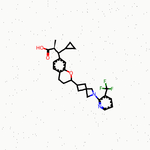 C[C@H](C(=O)O)C(c1ccc2c(c1)OC(C1CC3(C1)CN(c1ncccc1C(F)(F)F)C3)CC2)C1CC1